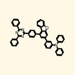 c1ccc(-c2nc(-c3ccccc3)nc(-c3ccc(-c4cc(-c5cccc(N(c6ccccc6)c6ccccc6)c5)cc5oc6ccccc6c45)cc3)n2)cc1